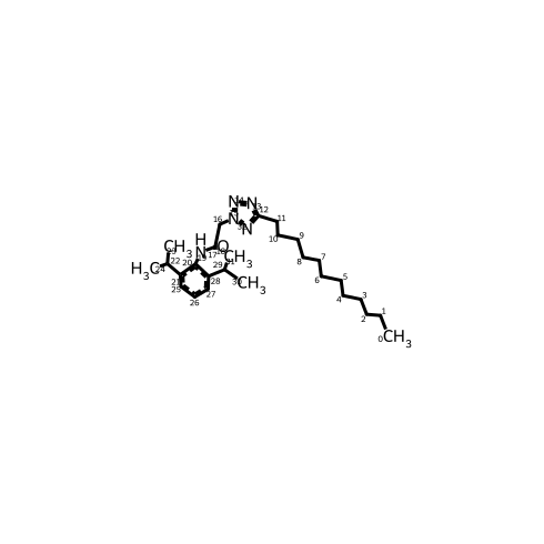 CCCCCCCCCCCCc1nnn(CC(=O)Nc2c(C(C)C)cccc2C(C)C)n1